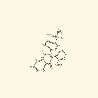 COc1ccccc1-c1c(-c2ccc(S(N)(=O)=O)cc2)oc2ccccc2c1=O